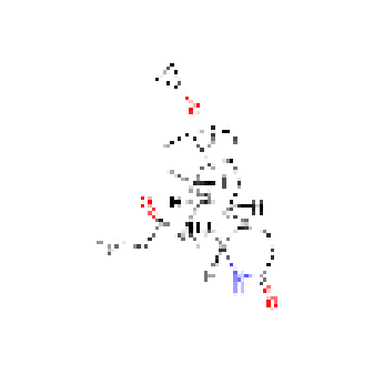 CCC(=O)[C@H]1C[C@H]2NC(=O)CC[C@]2(C)[C@H]2CC[C@]3(C)[C@@H](OC4CC4)CC[C@H]3[C@H]12